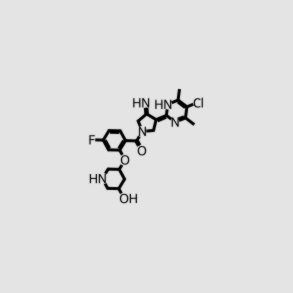 CC1=N/C(=C2\CN(C(=O)c3ccc(F)cc3OC3CNCC(O)C3)CC2=N)NC(C)=C1Cl